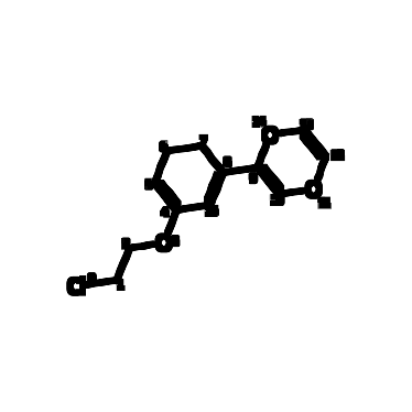 ClCCOC1=CCCC(C2=COC=CO2)=C1